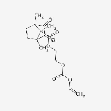 C=COC(=O)OCCOC(=O)C1(C)C2(C)CCC1(C)C(=O)C2=O